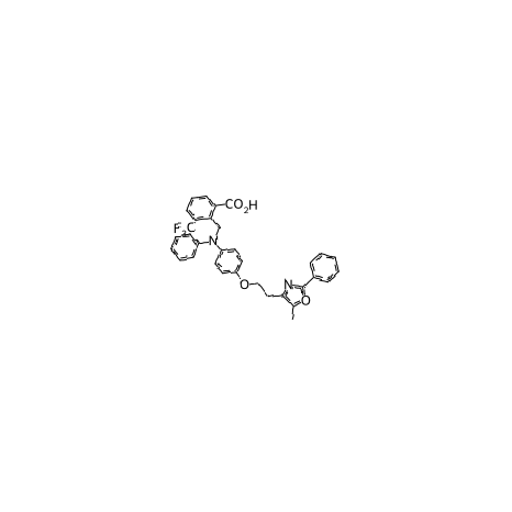 Cc1oc(-c2ccccc2)nc1CCOc1ccc(N(Cc2c(C(=O)O)cccc2C(F)(F)F)c2ccccc2)cc1